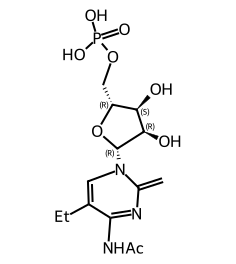 C=C1N=C(NC(C)=O)C(CC)=CN1[C@@H]1O[C@H](COP(=O)(O)O)[C@@H](O)[C@H]1O